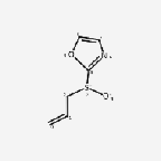 C=CC[S+]([O-])c1ncco1